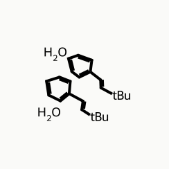 CC(C)(C)C=Cc1ccccc1.CC(C)(C)C=Cc1ccccc1.O.O